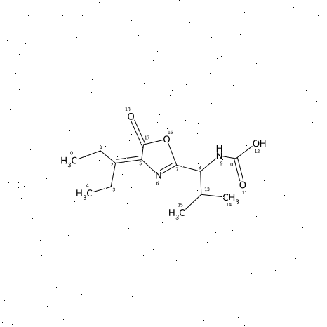 CCC(CC)=C1N=C(C(NC(=O)O)C(C)C)OC1=O